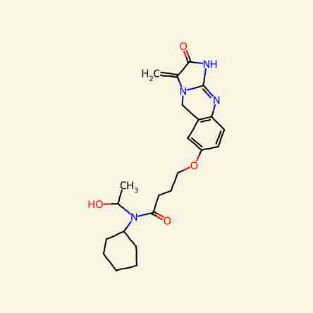 C=c1c(=O)[nH]c2n1Cc1cc(OCCCC(=O)N(C(C)O)C3CCCCC3)ccc1N=2